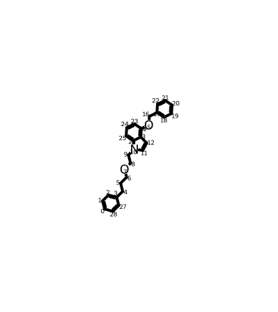 c1ccc(CCCOCCn2ccc3c(OCc4ccccc4)cccc32)cc1